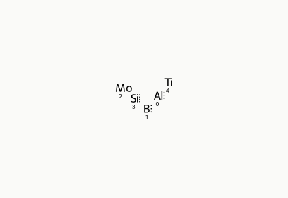 [Al].[B].[Mo].[Si].[Ti]